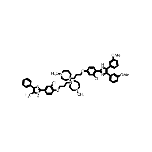 COc1cccc(-c2nc(-c3ccc(OCCC[N+]4([N+]5(CCCOc6ccc(-c7nc(-c8ccccc8)c(C)[nH]7)cc6Cl)CCCN(C)CC5)CCCN(C)CC4)cc3Cl)[nH]c2-c2cccc(OC)c2)c1